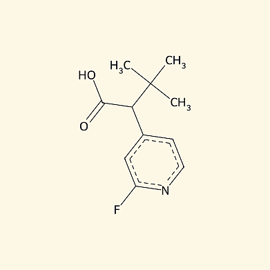 CC(C)(C)C(C(=O)O)c1ccnc(F)c1